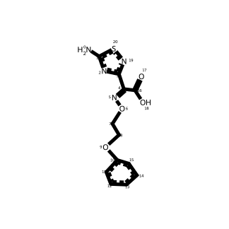 Nc1nc(C(=NOCCOc2ccccc2)C(=O)O)ns1